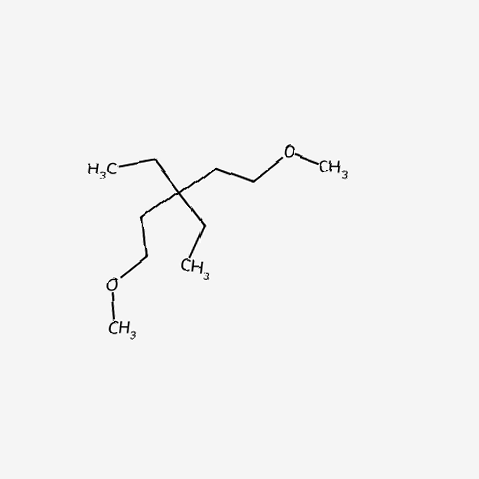 CCC(CC)(CCOC)CCOC